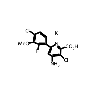 COc1c(Cl)ccc(-c2cc(N)c(Cl)c(C(=O)O)n2)c1F.[K]